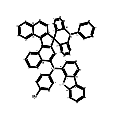 CC(C)(C)c1ccc(N(c2cc3c(c4ccccc24)-c2c(ccc4ccccc24)C32c3ccccc3N(c3ccccc3)c3ccccc32)c2cccc3c2oc2ccccc23)cc1